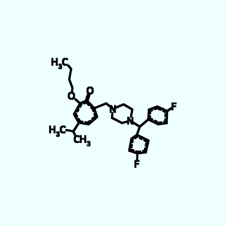 CCCCOc1cc(C(C)C)ccc(CN2CCN(C(c3ccc(F)cc3)c3ccc(F)cc3)CC2)c1=O